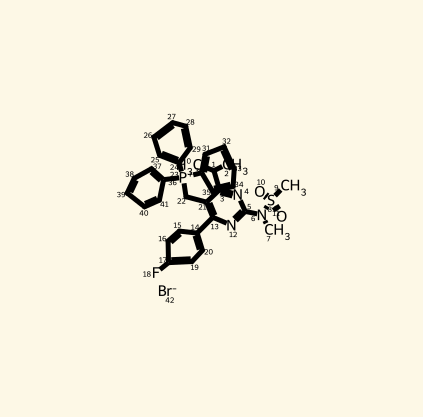 CC(C)c1nc(N(C)S(C)(=O)=O)nc(-c2ccc(F)cc2)c1C[P+](c1ccccc1)(c1ccccc1)c1ccccc1.[Br-]